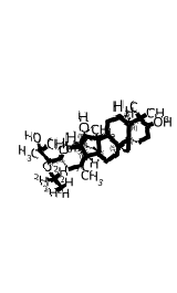 [2H]C([2H])([2H])C([2H])([2H])O[C@@H]([C@H]1C[C@@H](C)[C@H]2[C@H](O1)[C@H](O)[C@@]1(C)C3CC[C@H]4C(C)(C)C(O)CC[C@@]45C[C@@]35CC[C@]21C)C(C)(C)O